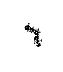 O=C(CC(=O)Nc1c(F)cccc1F)Nc1ccc(Oc2ccnc(NC(=O)N3CCCC3)c2)c(F)c1